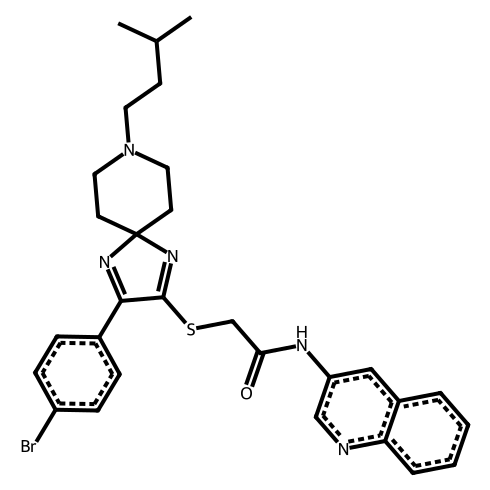 CC(C)CCN1CCC2(CC1)N=C(SCC(=O)Nc1cnc3ccccc3c1)C(c1ccc(Br)cc1)=N2